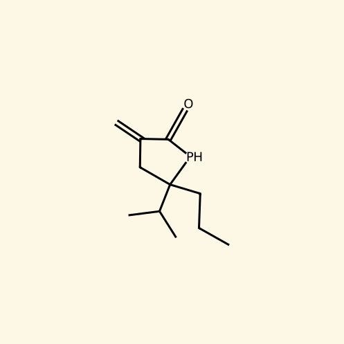 C=C1CC(CCC)(C(C)C)PC1=O